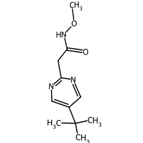 CONC(=O)Cc1ncc(C(C)(C)C)cn1